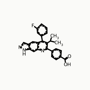 CC(C)c1c(-c2ccc(C(=O)O)cc2)nc2cc3[nH]ncc3cc2c1-c1cccc(F)c1